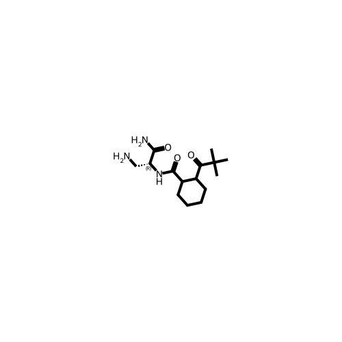 CC(C)(C)C(=O)C1CCCCC1C(=O)N[C@H](CN)C(N)=O